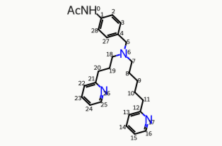 CC(=O)Nc1ccc(CN(CCCCCc2ccccn2)CCCc2ccccn2)cc1